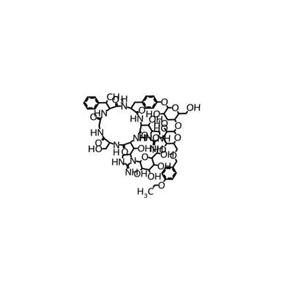 CCOc1ccc(COCC2OC(OC3C(CO)OC(Oc4ccc(CC5NC(=O)C(C(C)c6ccccc6)NC(=O)CNC(=O)C(CO)NC(=O)C(C(O)C6CNC(=N)N6C6OC(CO)C(O)C(O)C6O)NC(=O)C(C(O)C6CNC(=N)N6)NC5=O)cc4)C(O)C3O)C(O)C(O)C2O)cc1